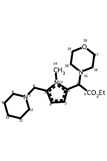 CCOC(=O)C(c1ccc(CN2CCCCC2)n1C)N1CCOCC1